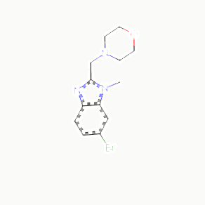 Cn1c(CN2CCOCC2)nc2ccc(Br)cc21